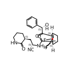 N#C[C@H](C[C@@H]1CCCNC1=O)NC(=O)[C@H]1[C@@H]2CC[C@@H](CC2(F)F)N1C(=O)[C@@H](O)c1ccccc1